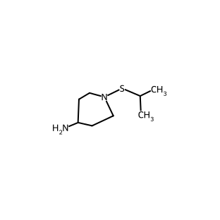 CC(C)SN1CCC(N)CC1